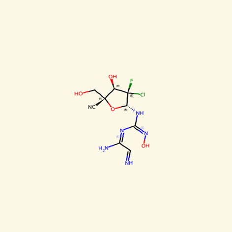 N#C[C@]1(CO)O[C@@H](NC(=N/O)/N=C(/N)C=N)[C@@](F)(Cl)[C@@H]1O